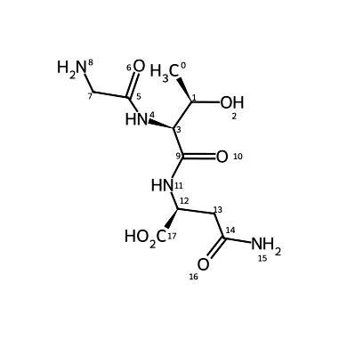 C[C@@H](O)[C@H](NC(=O)CN)C(=O)N[C@@H](CC(N)=O)C(=O)O